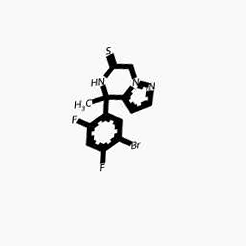 CC1(c2cc(Br)c(F)cc2F)NC(=S)Cn2nccc21